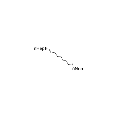 CCCCCCCC=CCCCCCCCCCCCCCCCC